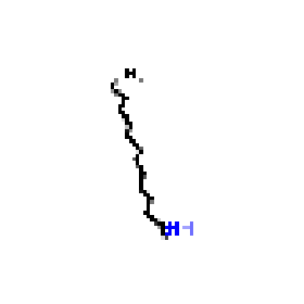 CCCCCCCCCCCCC1CN1